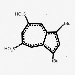 CC(C)(C)c1cc(C(C)(C)C)c2cc(S(=O)(=O)O)cc(S(=O)(=O)O)cc1-2